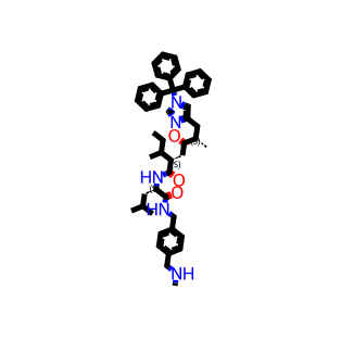 CCC(C)[C@H](CC(=O)[C@@H](C)Cc1cn(C(c2ccccc2)(c2ccccc2)c2ccccc2)cn1)C(=O)N[C@@H](CC(C)C)C(=O)NCc1ccc(CNC)cc1